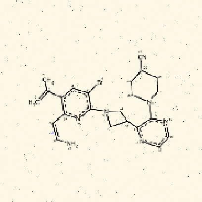 C=C(C)c1cc(Br)c(N2CC(c3nccnc3N3CCC(C#N)CC3)C2)nc1/C=C\N